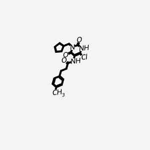 Cc1ccc(CCC(=O)Nc2c(Cl)[nH]c(=O)n(CC3CCCC3)c2=O)cc1